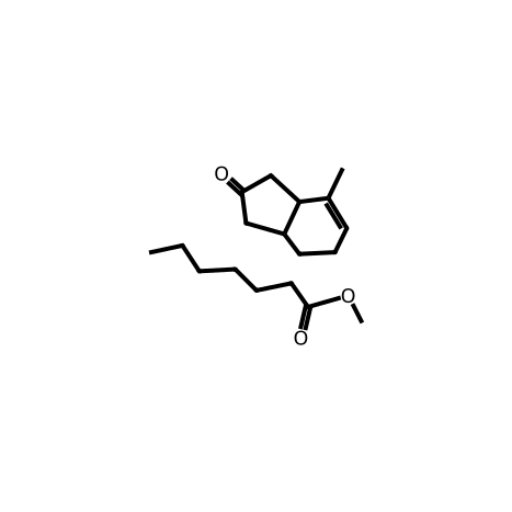 CC1=CCCC2CC(=O)CC12.CCCCCCC(=O)OC